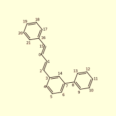 C(C=Cc1cccc(-c2ccccc2)c1)=Cc1ccccc1